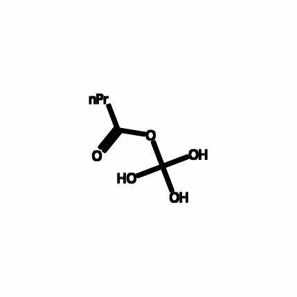 CCCC(=O)OC(O)(O)O